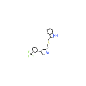 FC(F)(F)c1cccc(C2=CCNC(CCSCc3c[nH]c4ccccc34)C2)c1